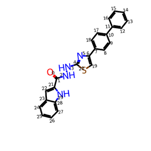 O=C(NNc1nc(-c2ccc(-c3ccccc3)cc2)cs1)c1cc2ccccc2[nH]1